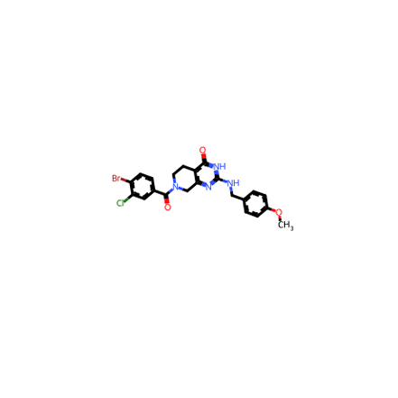 COc1ccc(CNc2nc3c(c(=O)[nH]2)CCN(C(=O)c2ccc(Br)c(Cl)c2)C3)cc1